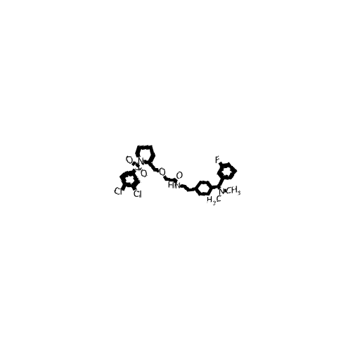 CN(C)C(c1cccc(F)c1)C1CCC(CCNC(=O)COCC2CCCCN2S(=O)(=O)c2ccc(Cl)c(Cl)c2)CC1